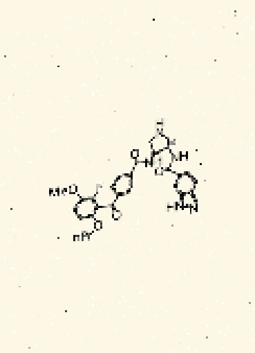 CCCOc1ccc(OC)c(F)c1C(=O)c1ccc(C(=O)N[C@@H]2CNC[C@H]2NC(=O)c2ccc3cn[nH]c3c2)cc1